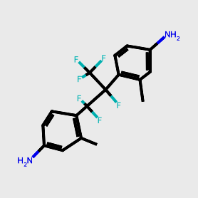 Cc1cc(N)ccc1C(F)(F)C(F)(c1ccc(N)cc1C)C(F)(F)F